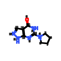 O=c1[nH]c(N2CCCC2)nc2[nH]n[c]c12